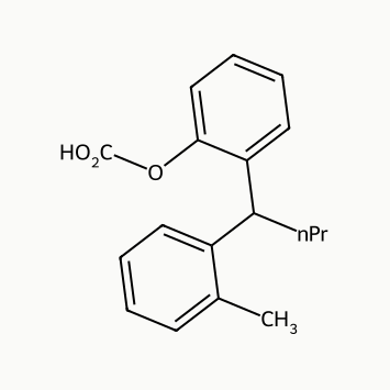 CCCC(c1ccccc1C)c1ccccc1OC(=O)O